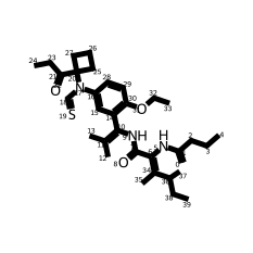 C=C(CCC)N/C(C(=O)NC(=C(C)C)c1cc(N(C=S)C2(C(=O)CC)CCC2)ccc1OCC)=C(/C)C(C)CC